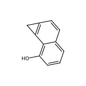 Oc1cccc2ccc3c(c12)C3